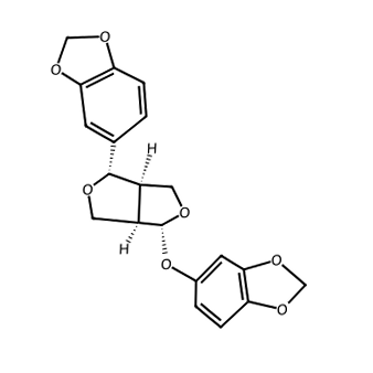 c1cc2c(cc1O[C@H]1OC[C@H]3[C@@H]1CO[C@@H]3c1ccc3c(c1)OCO3)OCO2